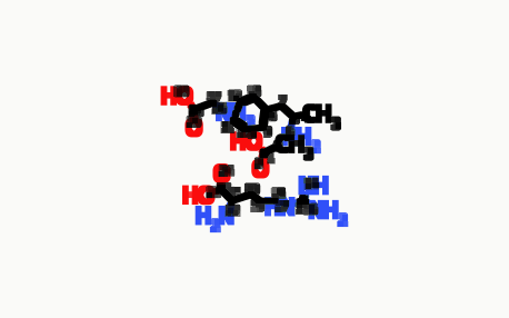 CC(=O)O.CC(N)Cc1ccccc1.N=C(N)NCCCC(N)C(=O)O.NCC(=O)O